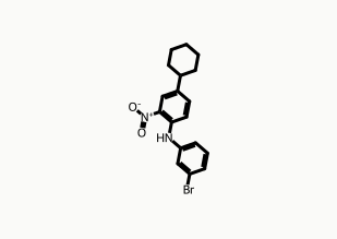 O=[N+]([O-])c1cc(C2CCCCC2)ccc1Nc1cccc(Br)c1